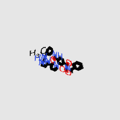 Cc1ccc(NC(=O)c2ccc(C(=O)N3C(=O)OCC3c3ccccc3)cc2)cc1Nc1nccc(-c2cccnc2)n1